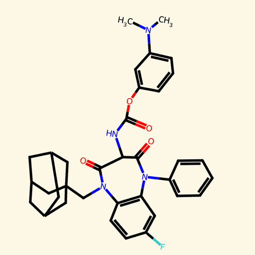 CN(C)c1cccc(OC(=O)NC2C(=O)N(CC34CC5CC(CC(C5)C3)C4)c3ccc(F)cc3N(c3ccccc3)C2=O)c1